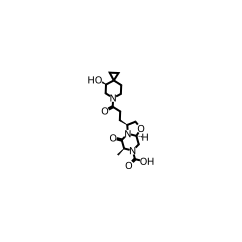 C[C@H]1C(=O)N2[C@@H](CCC(=O)N3CCC4(CC4)[C@H](O)C3)CO[C@H]2CN1C(=O)O